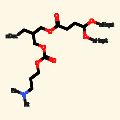 C[CH]CCCCCCCCCC(COC(=O)CCC(OCCCCCCC)OCCCCCCC)COC(=O)OCCCN(CC)CC